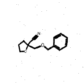 N#CC1(COCc2ccccc2)CCCO1